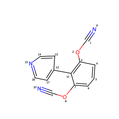 N#COc1cccc(OC#N)c1-c1ccncc1